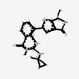 C[C@H]1NC(=O)c2cc(-c3cccc4c(=O)n(C)c(NC5(C)CC5)nc34)[nH]c21